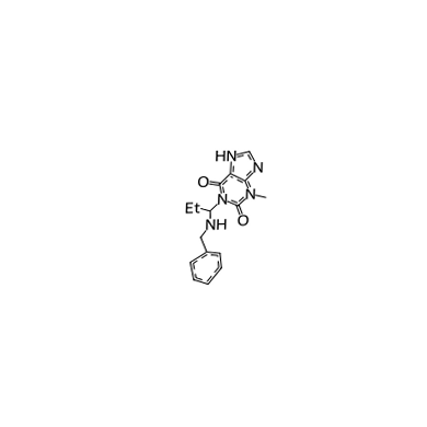 CCC(NCc1ccccc1)n1c(=O)c2[nH]cnc2n(C)c1=O